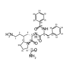 NCCCC[C@H](NC(=O)[C@H](Cc1ccccc1)NC(=O)c1ccccc1)C(=O)N1CCC[C@H]1C(N)=O